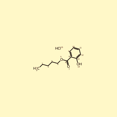 CCCCCOC(=O)c1ccccc1O.Cl